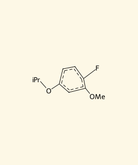 COc1cc(OC(C)C)ccc1F